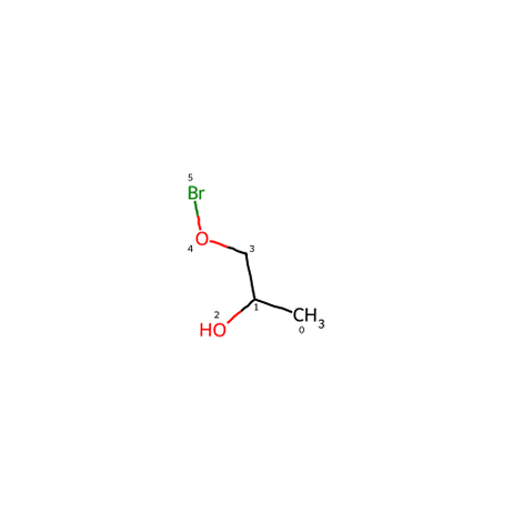 CC(O)COBr